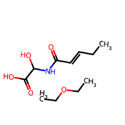 CCC=CC(=O)NC(O)C(=O)O.CCOCC